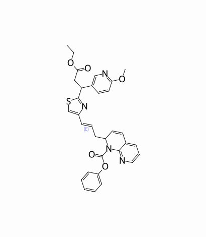 CCOC(=O)CC(c1ccc(OC)nc1)c1nc(/C=C/CC2C=Cc3cccnc3N2C(=O)Oc2ccccc2)cs1